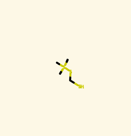 CS(C)(C)SCS